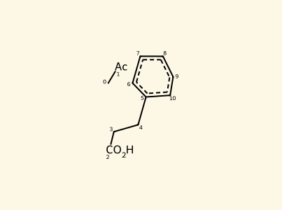 CC(C)=O.O=C(O)CCc1ccccc1